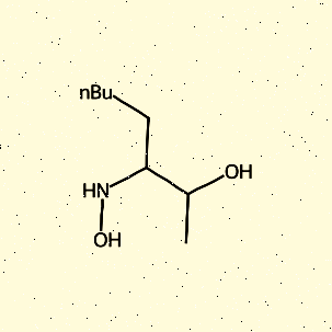 CCCCCC(NO)C(C)O